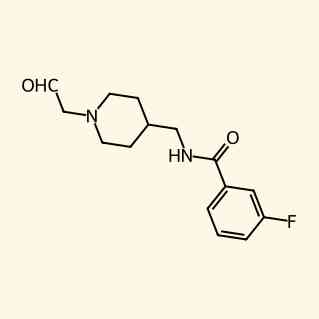 O=CCN1CCC(CNC(=O)c2cccc(F)c2)CC1